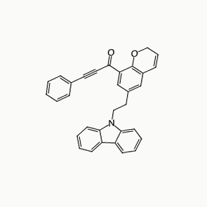 O=C(C#Cc1ccccc1)c1cc(CCn2c3ccccc3c3ccccc32)cc2c1OCC=C2